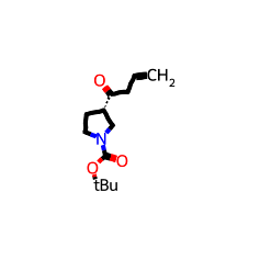 C=CCC(=O)[C@H]1CCN(C(=O)OC(C)(C)C)C1